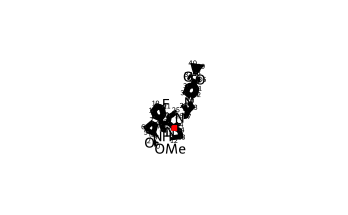 COC(=O)N[C@H]1CCC[C@@H]1C(CN1CCCC1)(c1cccc(F)c1)C1CCN(CC2CN(c3ccc(S(=O)(=O)C4CC4)cc3)C2)CC1